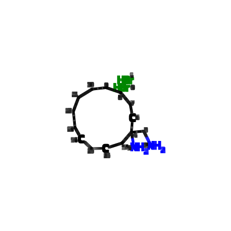 Br.Br.NCC1(N)CCCCCCCCCCCC1